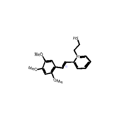 COc1cc(OC)c(OC)cc1/C=C/c1cccc[n+]1CCS